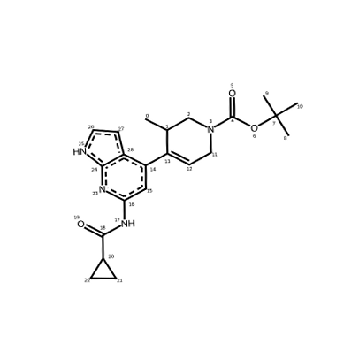 CC1CN(C(=O)OC(C)(C)C)CC=C1c1cc(NC(=O)C2CC2)nc2[nH]ccc12